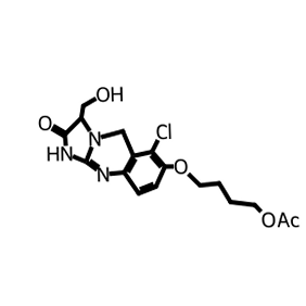 CC(=O)OCCCCOc1ccc2c(c1Cl)CN1C(=N2)NC(=O)C1CO